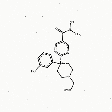 CCCC(C)CN1CCC(c2cccc(O)c2)(c2ncc(C(=O)N(C)CCC)cn2)CC1